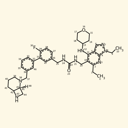 CCc1nc2c(cnn2CC)c(NC2CCOCC2)c1CNC(=O)NCc1ccc(F)c(-c2cccc(CN3CCCC4NC[C@H]43)c2)c1